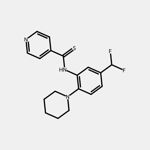 FC(F)c1ccc(N2CCCCC2)c(NC(=S)c2ccncc2)c1